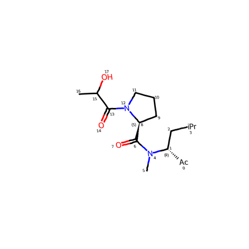 CC(=O)[C@@H](CC(C)C)N(C)C(=O)[C@@H]1CCCN1C(=O)C(C)O